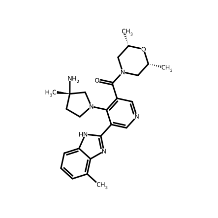 Cc1cccc2[nH]c(-c3cncc(C(=O)N4C[C@@H](C)O[C@@H](C)C4)c3N3CC[C@](C)(N)C3)nc12